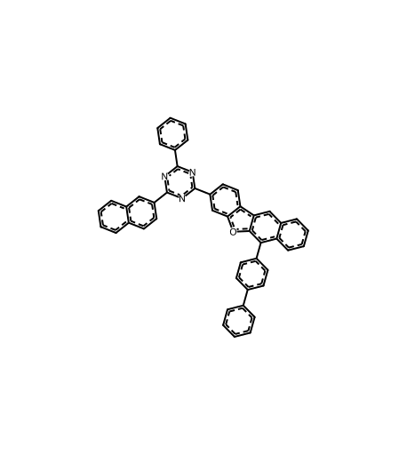 c1ccc(-c2ccc(-c3c4ccccc4cc4c3oc3cc(-c5nc(-c6ccccc6)nc(-c6ccc7ccccc7c6)n5)ccc34)cc2)cc1